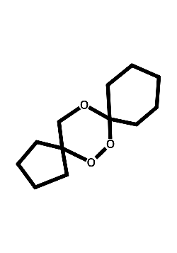 C1CCC2(CC1)OCC1(CCCC1)OO2